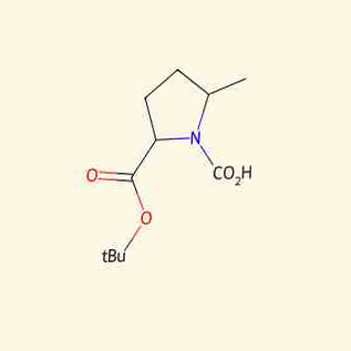 CC1CCC(C(=O)OC(C)(C)C)N1C(=O)O